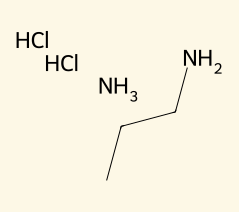 CCCN.Cl.Cl.N